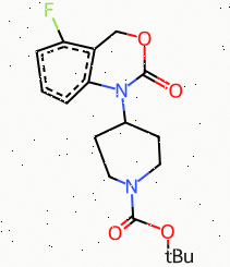 CC(C)(C)OC(=O)N1CCC(N2C(=O)OCc3c(F)cccc32)CC1